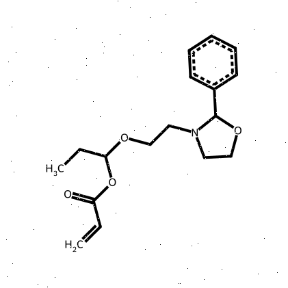 C=CC(=O)OC(CC)OCCN1CCOC1c1ccccc1